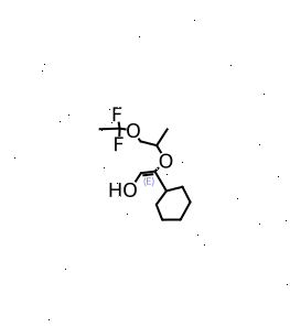 CC(COC(C)(F)F)O/C(=C/O)C1CCCCC1